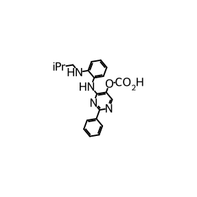 CC(C)CNc1ccccc1Nc1nc(-c2ccccc2)ncc1OC(=O)O